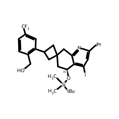 CC(C)c1cc(I)c2c(n1)CC1(CC(c3cc(C(F)(F)F)ccc3CO)C1)C[C@@H]2O[Si](C)(C)C(C)(C)C